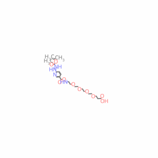 CC(C)(C)OC(=O)NNc1ccc(C(=O)ONCCOCCOCCOCCOCCC(=O)O)cn1